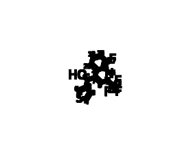 OC(c1ccsc1)c1cc(C(F)(F)F)nc2c(F)cccc12